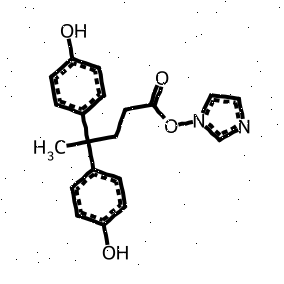 CC(CCC(=O)On1ccnc1)(c1ccc(O)cc1)c1ccc(O)cc1